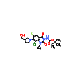 CC(C)(C)OC(=O)Nn1c(=O)c2cc(F)c(N3CCC(CO)C3)c(Cl)c2n(C2CC2)c1=O